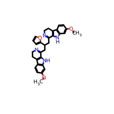 COc1ccc2c3c([nH]c2c1)C(CC(CC1=NCCc2c1[nH]c1cc(OC)ccc21)c1ccco1)=NCC3